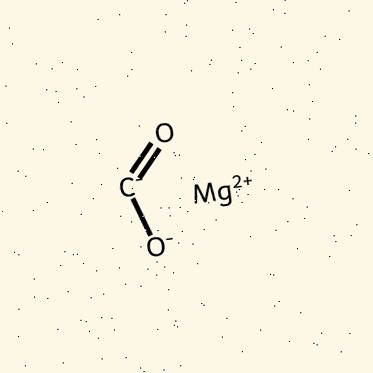 O=[C-][O-].[Mg+2]